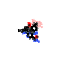 BC(B)(B)C1(B)CCC(Nc2nc(NC(C)(C)C)ncc2C(N)=O)CC1O